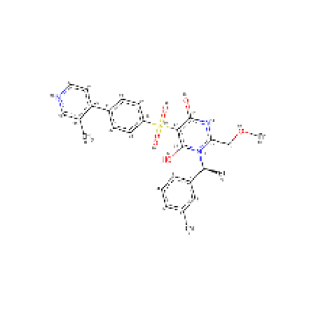 CC[C@@H](c1cccc(C#N)c1)n1c(COC(C)C)nc(=O)c(S(=O)(=O)c2ccc(-c3ccncc3C)cc2)c1O